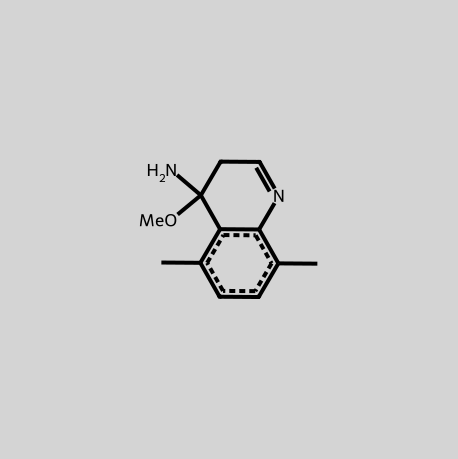 COC1(N)CC=Nc2c(C)ccc(C)c21